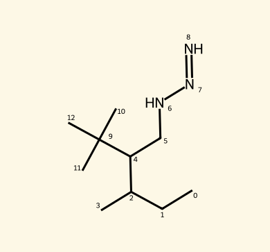 CCC(C)C(CNN=N)C(C)(C)C